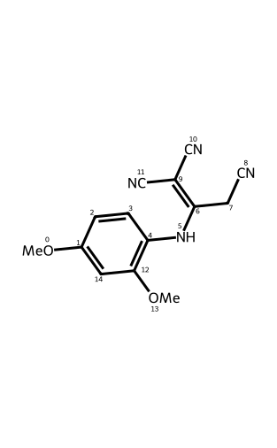 COc1ccc(NC(CC#N)=C(C#N)C#N)c(OC)c1